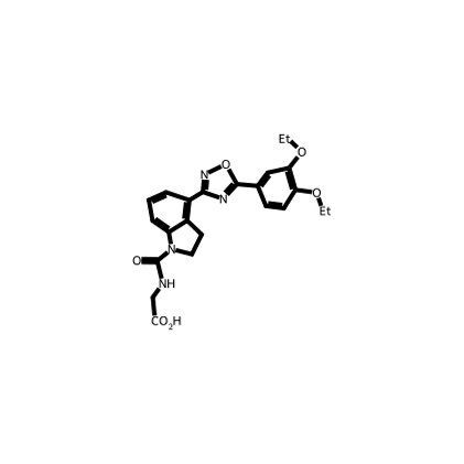 CCOc1ccc(-c2nc(-c3cccc4c3CCN4C(=O)NCC(=O)O)no2)cc1OCC